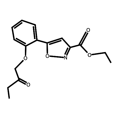 CCOC(=O)c1cc(-c2ccccc2OCC(=O)CC)on1